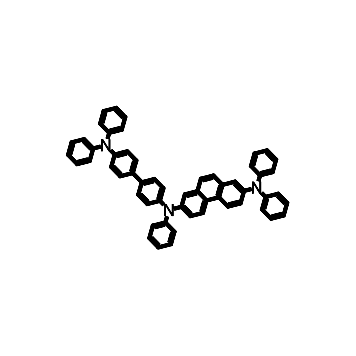 c1ccc(N(c2ccccc2)c2ccc(-c3ccc(N(c4ccccc4)c4ccc5c(ccc6cc(N(c7ccccc7)c7ccccc7)ccc65)c4)cc3)cc2)cc1